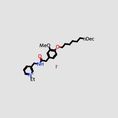 CCCCCCCCCCCCCCCCOc1ccc(CC(=O)NCc2ccc[n+](CC)c2)cc1OC.[I-]